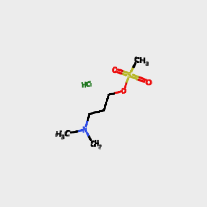 CN(C)CCCOS(C)(=O)=O.Cl